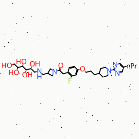 CCCc1cnc(N2CCC(CCCOc3ccc(CC(=O)N4CC(CNC[C@H](O)[C@@H](O)[C@H](O)C(O)CO)C4)c(F)c3)CC2)nc1